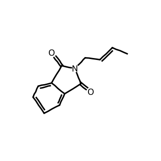 C/C=C/CN1C(=O)c2ccccc2C1=O